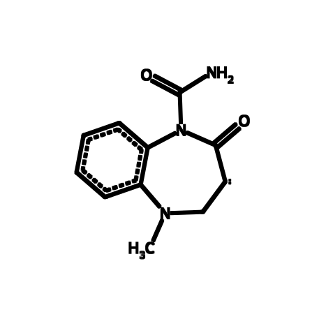 CN1C[C]C(=O)N(C(N)=O)c2ccccc21